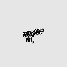 C#C[C@H]1C[C@@H](COP(=O)(N[C@H](C)C(=O)OC(C)C)Oc2cccc3ccccc23)O[C@H]1n1cnc2c(N(C)C3CC3)nc(N)nc21